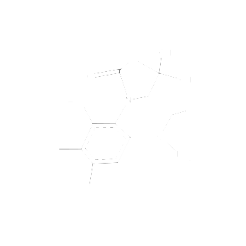 Cc1ccc(N2C(=O)OC(C)(C)[C@@H]2C(C)OP)c(C)c1C